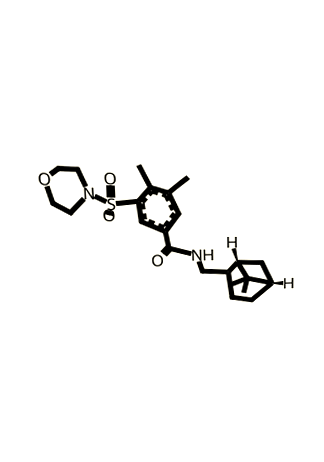 Cc1cc(C(=O)NCC2CC[C@H]3C[C@@H]2C3(C)C)cc(S(=O)(=O)N2CCOCC2)c1C